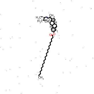 CCCCCCCCCCCCCCCCCCCCCCCC(=O)O[C@H]1CC[C@@]2(C)C(=CC[C@H]3[C@@H]4CC[C@H]([C@H](C)/C=C/[C@@H](CC)C(C)C)[C@@]4(C)CC[C@@H]32)C1